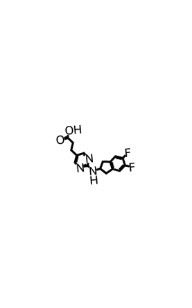 O=C(O)CCc1cnc(NC2Cc3cc(F)c(F)cc3C2)nc1